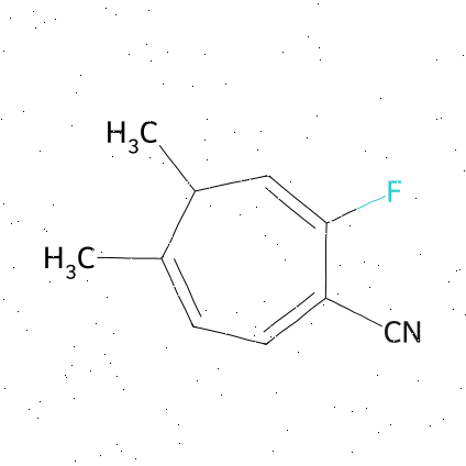 CC1=CC=C(C#N)C(F)=CC1C